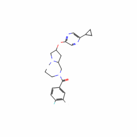 O=C(c1ccc(F)c(C(F)(F)F)c1)N1CCCN2CC(Oc3cnc(C4CC4)cn3)CC2C1